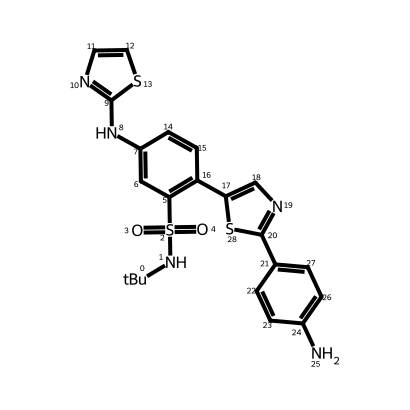 CC(C)(C)NS(=O)(=O)c1cc(Nc2nccs2)ccc1-c1cnc(-c2ccc(N)cc2)s1